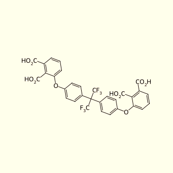 O=C(O)c1cccc(Oc2ccc(C(c3ccc(Oc4cccc(C(=O)O)c4C(=O)O)cc3)(C(F)(F)F)C(F)(F)F)cc2)c1C(=O)O